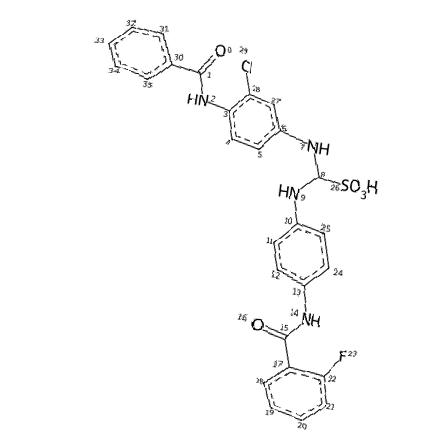 O=C(Nc1ccc(NC(Nc2ccc(NC(=O)c3ccccc3F)cc2)S(=O)(=O)O)cc1Cl)c1ccccc1